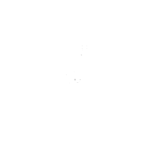 O=C1C=CC2(C=C1)CC1(CCCC1)O2